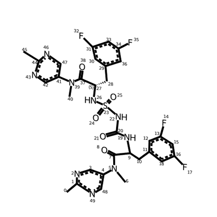 Cc1ncc(N(C)C(=O)C(Cc2cc(F)cc(F)c2)NC(=O)NS(=O)(=O)N[C@@H](Cc2cc(F)cc(F)c2)C(=O)N(C)c2cnc(C)nc2)cn1